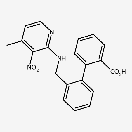 Cc1ccnc(NCc2ccccc2-c2ccccc2C(=O)O)c1[N+](=O)[O-]